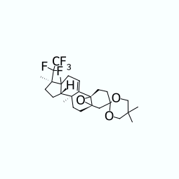 CC1(C)COC2(CC[C@]34O[C@@]3(CC[C@]3(C)C4=CCC4(C)[C@H]3CC[C@@]4(C)C(F)(F)C(F)(F)F)C2)OC1